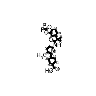 Cc1ccc(NC(=O)C2(c3ccc4c(c3)OC(F)(F)O4)CC2)nc1-c1ccc(C(=O)O)cc1